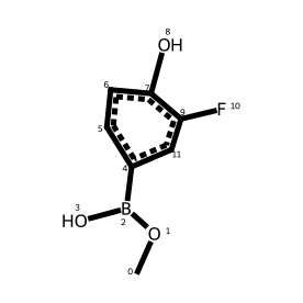 COB(O)c1ccc(O)c(F)c1